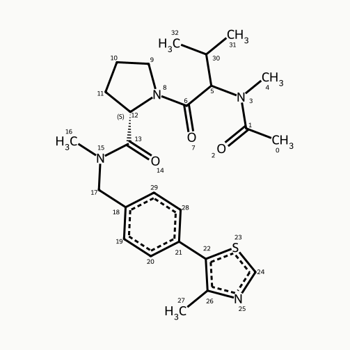 CC(=O)N(C)C(C(=O)N1CCC[C@H]1C(=O)N(C)Cc1ccc(-c2scnc2C)cc1)C(C)C